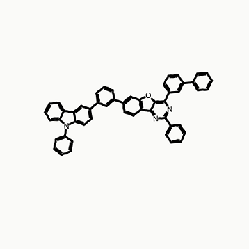 c1ccc(-c2cccc(-c3nc(-c4ccccc4)nc4c3oc3cc(-c5cccc(-c6ccc7c(c6)c6ccccc6n7-c6ccccc6)c5)ccc34)c2)cc1